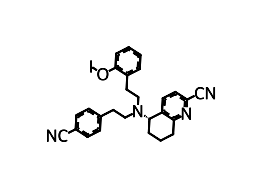 N#Cc1ccc(CCN(CCc2ccccc2OI)[C@H]2CCCc3nc(C#N)ccc32)cc1